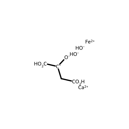 O=C(O)C[C-]([O-])C(=O)O.[Ca+2].[Fe+2].[OH-].[OH-]